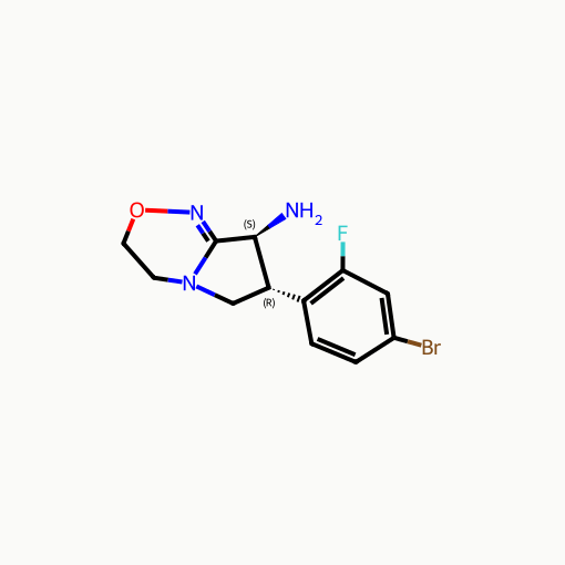 N[C@@H]1C2=NOCCN2C[C@H]1c1ccc(Br)cc1F